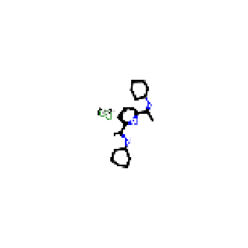 CC(=NC1CCCCC1)c1cccc(C(C)=NC2CCCCC2)n1.[Cl-].[Cl-].[Co+2]